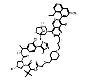 CCc1cccc2cc(O)cc(-c3ncc4c(N5C[C@H]6CC[C@@H](C5)N6)nc(OCCN5CCC(COCC(=O)NC(C(=O)N6C[C@H](O)C[C@H]6C(=O)NC(C)c6ccc(-c7scnc7C)c(Cl)c6)C(C)(C)C)CC5)nc4c3F)c12